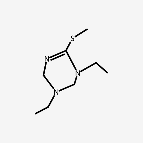 CCN1CN=C(SC)N(CC)C1